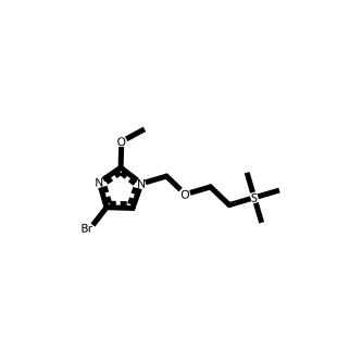 COc1nc(Br)cn1COCCS(C)(C)C